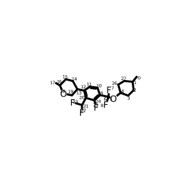 CC1CCC(OC(F)(F)c2ccc(C3CCC(C)OC3)c(C(F)F)c2F)CC1